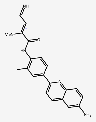 CN/C(=C\C=N)C(=O)Nc1ccc(-c2ccc3cc(N)ccc3n2)cc1C